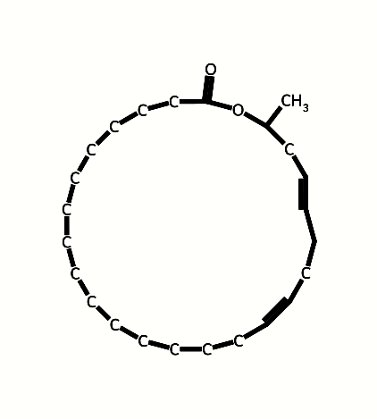 CC1C/C=C/CC/C=C\CCCCCCCCCCCCCCC(=O)O1